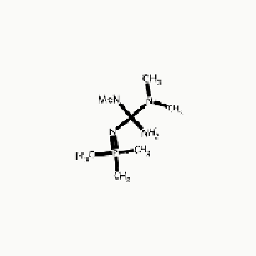 CNC(N)(N=P(C)(C)C)N(C)C